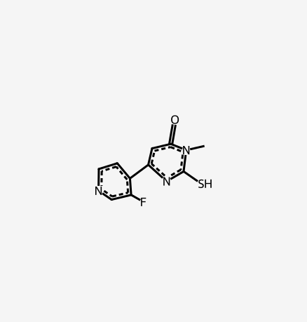 Cn1c(S)nc(-c2ccncc2F)cc1=O